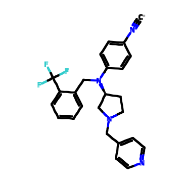 [C-]#[N+]c1ccc(N(Cc2ccccc2C(F)(F)F)[C@H]2CCN(Cc3ccncc3)C2)cc1